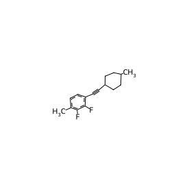 Cc1ccc(C#CC2CCC(C)CC2)c(F)c1F